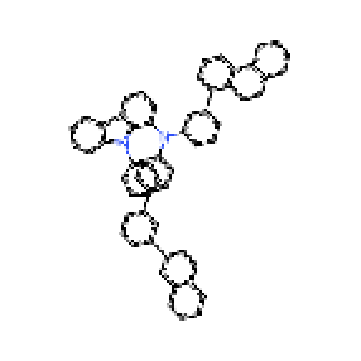 c1ccc(-n2c3ccccc3c3cccc(N(c4ccc(-c5cccc(-c6ccc7ccccc7c6)c5)cc4)c4cccc(-c5cccc6c5ccc5ccccc56)c4)c32)cc1